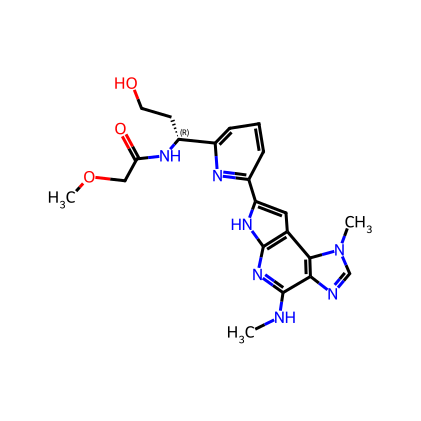 CNc1nc2[nH]c(-c3cccc([C@@H](CCO)NC(=O)COC)n3)cc2c2c1ncn2C